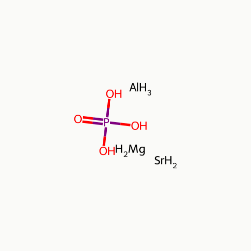 O=P(O)(O)O.[AlH3].[MgH2].[SrH2]